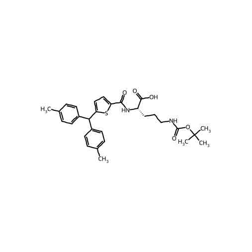 Cc1ccc(C(c2ccc(C)cc2)c2ccc(C(=O)N[C@@H](CCCNC(=O)OC(C)(C)C)C(=O)O)s2)cc1